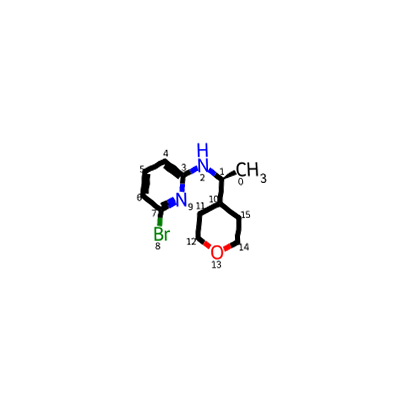 C[C@H](Nc1cccc(Br)n1)C1CCOCC1